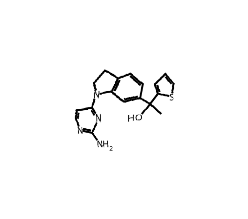 CC(O)(c1ccc2c(c1)N(c1ccnc(N)n1)CC2)c1cccs1